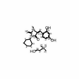 CN1C(=S)N(C2CCCCC2)C(=O)C1=Cc1ccc(O)cc1O.C[N+](C)(C)CCO